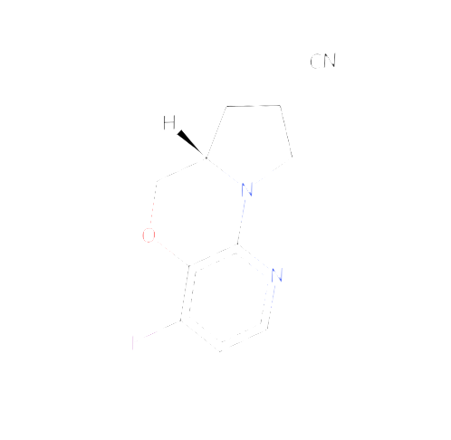 N#C[C@H]1C[C@H]2COc3c(I)ccnc3N2C1